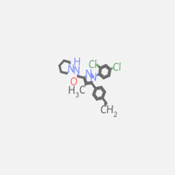 C=Cc1ccc(-c2c(C)c(C(=O)NN3CCCCC3)nn2-c2ccc(Cl)cc2Cl)cc1